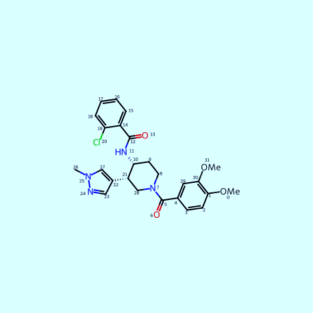 COc1ccc(C(=O)N2CC[C@@H](NC(=O)c3ccccc3Cl)[C@@H](c3cnn(C)c3)C2)cc1OC